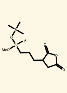 CCC[Si](CCCC1CC(=O)OC1=O)(OC)O[Si](C)(C)C